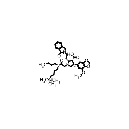 CCCCN(CCCC[N+](C)(C)C)C(=O)CN1C[C@H](c2cc(OC)c3c(c2)OCO3)[C@@H](C(=O)O)[C@@H]1CCN1Cc2ccccc2C1=O